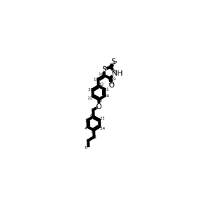 CCCc1ccc(COc2ccc(/C=C3/SC(=S)NC3=O)cc2)cc1